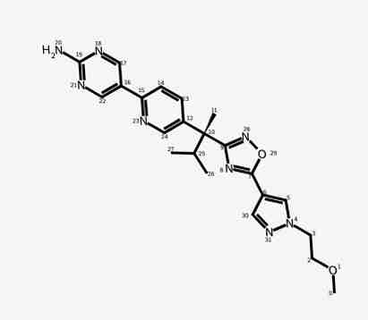 COCCn1cc(-c2nc([C@@](C)(c3ccc(-c4cnc(N)nc4)nc3)C(C)C)no2)cn1